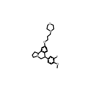 COc1ccc(C2CN3CCCC3c3cc(OCCCN4CCOCC4)ccc32)cc1F